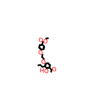 CCCc1c(OCCCOc2ccc(C(=O)OCC)cc2)ccc(C(C)=O)c1O